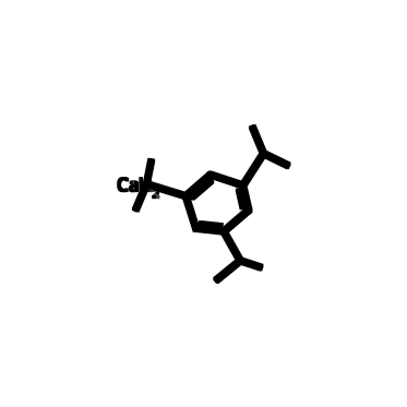 CC(C)c1cc(C(C)C)cc(C(C)C)c1.[CaH2]